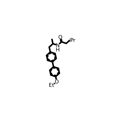 CCOc1ccc(-c2ccc(CC(C)NC(=O)CC(C)C)cc2)cc1